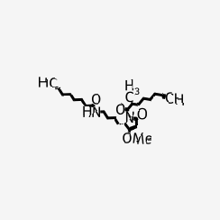 C#CCCCCCC(=O)NCCCC[C@H]1C(OC)=CC(=O)N1C(=O)[C@H](C)CCCCC#C